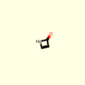 O=[C]1C=[CH][Hg]1